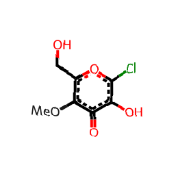 COc1c(CO)oc(Cl)c(O)c1=O